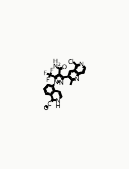 Cc1nc2ccnc(Cl)c2cc1-c1nn(-c2cccc3c2C=CNC3=C=O)c(C(F)(F)F)c1C(N)=O